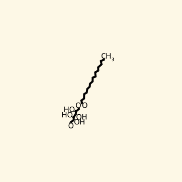 CCCCCCCCCCCCCCCCCC(=O)OCC(O)C(O)C(O)C(O)C=O